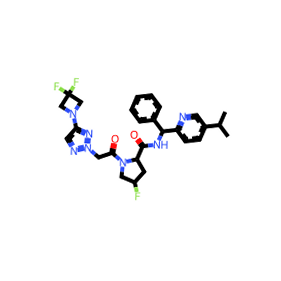 CC(C)c1ccc(C(NC(=O)C2CC(F)CN2C(=O)Cn2ncc(N3CC(F)(F)C3)n2)c2ccccc2)nc1